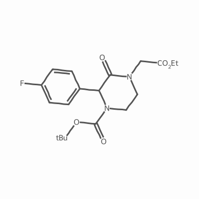 CCOC(=O)CN1CCN(C(=O)OC(C)(C)C)C(c2ccc(F)cc2)C1=O